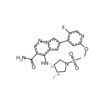 COc1cc(-c2cc3c(N[C@@H]4CN(S(C)(=O)=O)C[C@@H]4C)c(C(N)=O)cnn3c2)c(F)cn1